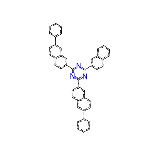 c1ccc(-c2ccc3cc(-c4nc(-c5ccc6ccccc6c5)nc(-c5ccc6ccc(-c7ccccc7)cc6c5)n4)ccc3c2)cc1